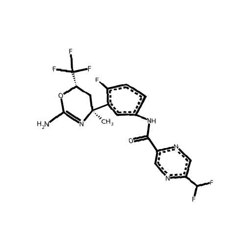 C[C@@]1(c2cc(NC(=O)c3cnc(C(F)F)cn3)ccc2F)C[C@@H](C(F)(F)F)OC(N)=N1